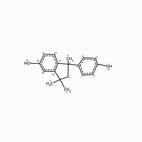 CC1(C)CC(C)(c2ccc(O)cc2)c2ccc(O)cc21